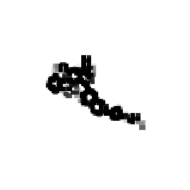 Cc1cccc(F)c1-n1nc2c(-c3ccc4c(c3)CN(C3CC(N)C3)CC4)n[nH]c2cc1=O.Cl